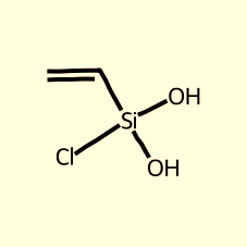 C=C[Si](O)(O)Cl